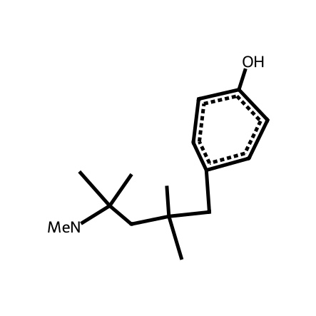 CNC(C)(C)CC(C)(C)Cc1ccc(O)cc1